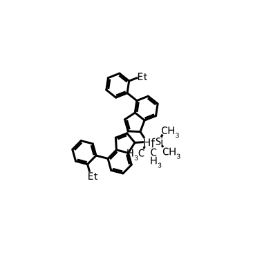 CCc1ccccc1-c1cccc2c1C=C[CH]2[Hf]([CH3])([CH3])([CH]1C=Cc2c(-c3ccccc3CC)cccc21)=[Si](C)C